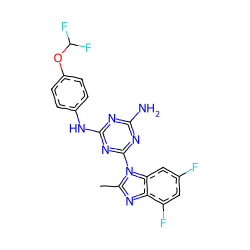 Cc1nc2c(F)cc(F)cc2n1-c1nc(N)nc(Nc2ccc(OC(F)F)cc2)n1